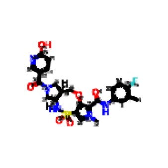 Cc1cc(NC(=O)c2c3c(cn2C)S(=O)(=O)N[C@H]2CN(C(=O)c4ccc(O)nc4)C[C@H]2CO3)ccc1F